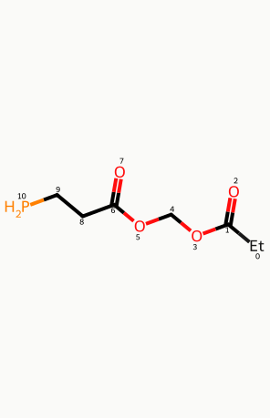 CCC(=O)OCOC(=O)CCP